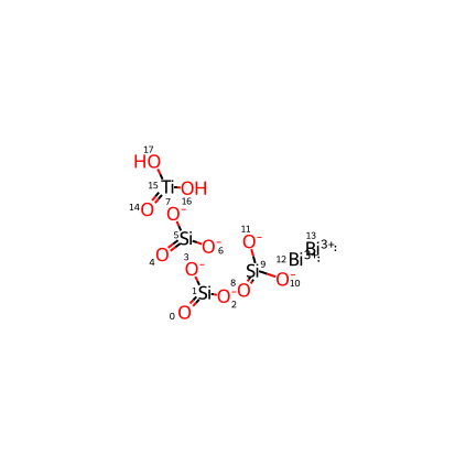 O=[Si]([O-])[O-].O=[Si]([O-])[O-].O=[Si]([O-])[O-].[Bi+3].[Bi+3].[O]=[Ti]([OH])[OH]